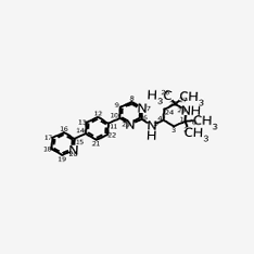 CC1(C)CC(Nc2nccc(-c3ccc(-c4ccccn4)cc3)n2)CC(C)(C)N1